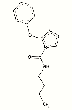 O=C(NCCCC(F)(F)F)n1ccnc1Oc1ccccc1